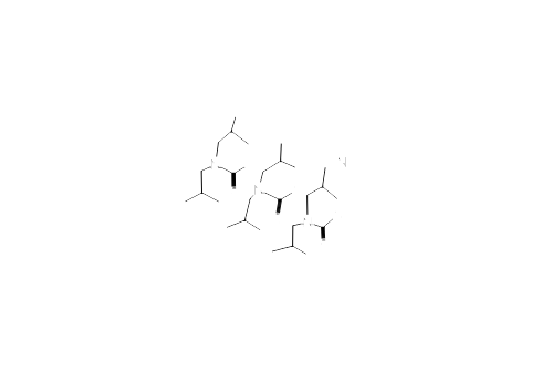 CC(C)CN(CC(C)C)C(=S)[S-].CC(C)CN(CC(C)C)C(=S)[S-].CC(C)CN(CC(C)C)C(=S)[S-].[Ni+3]